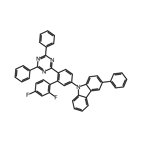 Fc1ccc(-c2cc(-n3c4ccccc4c4cc(-c5ccccc5)ccc43)ccc2-c2nc(-c3ccccc3)nc(-c3ccccc3)n2)c(F)c1